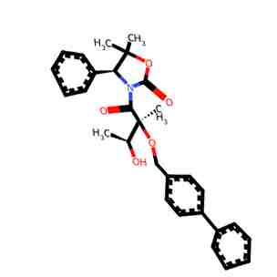 C[C@H](O)[C@](C)(OCc1ccc(-c2ccccc2)cc1)C(=O)N1C(=O)OC(C)(C)[C@@H]1c1ccccc1